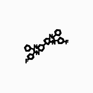 Fc1ccc(-c2nc3ccc(-c4ccc5nc(-c6ccccc6)c(-c6ccc(F)cc6)nc5c4)cc3nc2-c2ccccc2)cc1